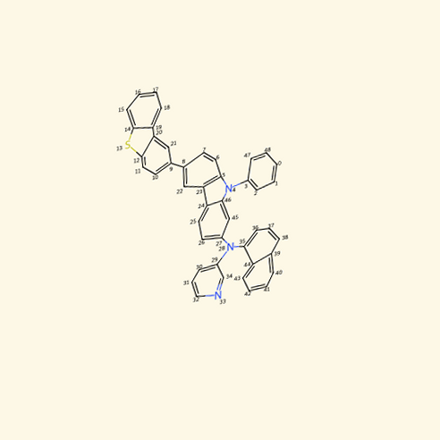 c1ccc(-n2c3ccc(-c4ccc5sc6ccccc6c5c4)cc3c3ccc(N(c4cccnc4)c4cccc5ccccc45)cc32)cc1